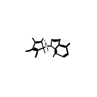 CC1=C(C)[C](C)([Zr]([F])([F])[CH]2C=Cc3c(C)ccc(C)c32)C(C)=C1C